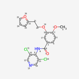 COc1ccc(C(=O)Nc2c(Cl)cncc2Cl)cc1OCCc1ccco1